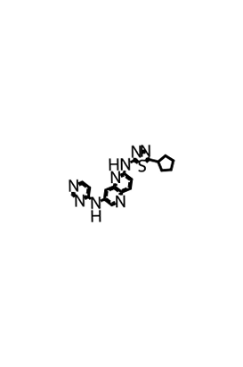 c1cc(Nc2cnc3ccc(Nc4nnc(C5CCCC5)s4)nc3c2)ncn1